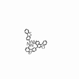 c1ccc(C2=NC(c3cccc4oc5ccc(-c6ccc7c(c6)oc6ccccc67)cc5c34)=NC(c3ccc4c(c3)sc3ccccc34)N2)cc1